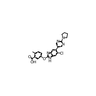 Cc1ccc(Oc2nc3cc(-c4cnc(N5CCCC5)nc4)c(Cl)cc3[nH]2)cc1C(=O)O